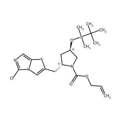 C=CCOC(=O)N1C[C@H](O[Si](C)(C)C(C)(C)C)C[C@H]1Cc1cn2c(Cl)ncc2s1